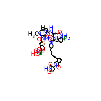 CN1CC[C@H]2CC[C@@H](C(=O)N[C@@H](CCC(N)=O)C(=O)N[C@@H](Cc3ccc(F)cc3)C(=O)N3CCC(CCCC#Cc4cccc5c4CN(C4CCC(=O)NC4=O)C5=O)CC3)N2C(=O)[C@@H](NC(=O)c2cc3cc(C(F)(F)P(=O)(O)O)ccc3s2)C1